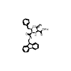 COC(=O)[C@H](CC(C)C)NN(C(=O)OCC1c2ccccc2-c2ccccc21)[C@@H](Cc1ccccc1)C(=O)O